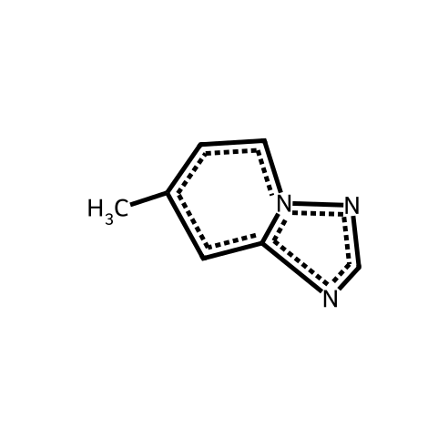 Cc1ccn2ncnc2c1